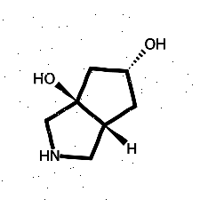 O[C@@H]1C[C@@H]2CNC[C@]2(O)C1